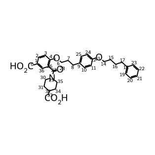 O=C(O)c1ccc(OCCCc2ccc(OCCCCc3ccccc3)cc2)c(C(=O)N2CCC(C(=O)O)CC2)c1